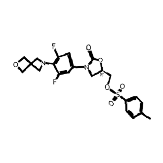 Cc1ccc(S(=O)(=O)OC[C@H]2CN(c3cc(F)c(N4CC5(COC5)C4)c(F)c3)C(=O)O2)cc1